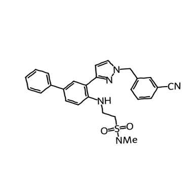 CNS(=O)(=O)CCNc1ccc(-c2ccccc2)cc1-c1ccn(Cc2cccc(C#N)c2)n1